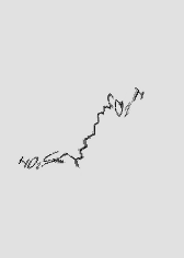 CC(CCCCCCCCCCCC(=O)O)CC(C)(C)C(=O)O